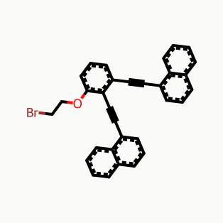 BrCCOc1cccc(C#Cc2cccc3ccccc23)c1C#Cc1cccc2ccccc12